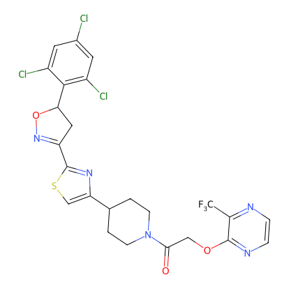 O=C(COc1nccnc1C(F)(F)F)N1CCC(c2csc(C3=NOC(c4c(Cl)cc(Cl)cc4Cl)C3)n2)CC1